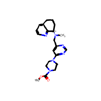 CN(Cc1cc(N2CCN(C(=O)OC(C)(C)C)CC2)ncn1)[C@H]1CCCc2cccnc21